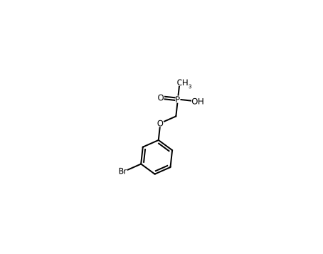 CP(=O)(O)COc1cccc(Br)c1